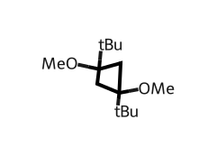 COC1(C(C)(C)C)CC(OC)(C(C)(C)C)C1